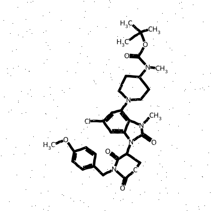 COc1ccc(CN2C(=O)CCC(n3c(=O)n(C)c4c(N5CCC(N(C)C(=O)OC(C)(C)C)CC5)cc(Cl)cc43)C2=O)cc1